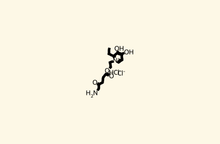 CCc1c(O)c(O)cc[n+]1CCOC(=O)CCC(=O)CN.Cl.[Cl-]